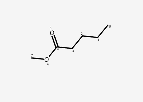 [CH2]CC[CH]C(=O)OC